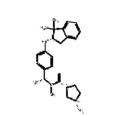 CN(C(=O)[C@@H]1CC[C@H](N)C1)[C@@H](c1ccc(N[C@H]2Cc3ccccc3C2(C)C)cn1)C(F)(F)F